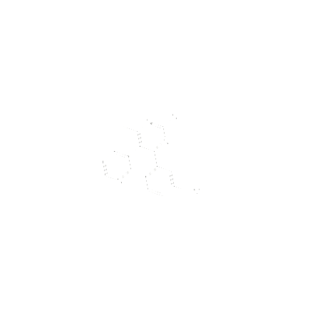 COc1cccc(-c2nc(N)nc(C)c2-c2cccnc2)c1